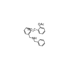 CC(=O)Oc1ccccc1C(=O)O.c1ccc(CNCc2ccccc2)cc1